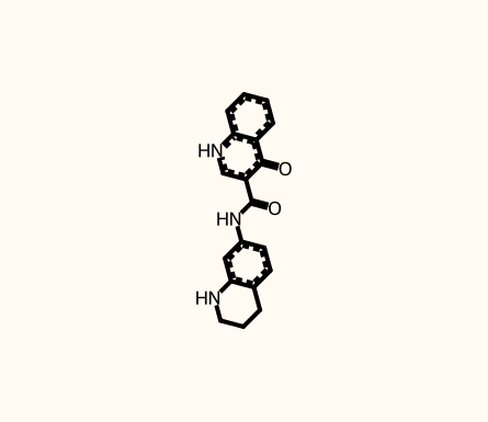 O=C(Nc1ccc2c(c1)NCCC2)c1c[nH]c2ccccc2c1=O